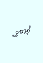 N#Cc1ccc(Cl)c(C(=O)Nc2ccc(-c3cccc(C(=O)O)c3)nc2)c1